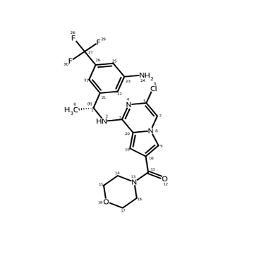 C[C@@H](Nc1nc(Cl)cn2cc(C(=O)N3CCOCC3)cc12)c1cc(N)cc(C(F)(F)F)c1